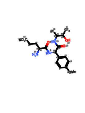 COc1ccc([C@H](NC(=O)[C@@H](N)CCC(=O)O)C(=O)N[C@@H](C(C)C)[C@H](O)C(F)(F)F)cc1